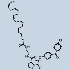 CC/C=C\C/C=C\C/C=C\C/C=C\C/C=C\CCCC(=O)NCCNC(=O)[C@@H]1CCCN1C(=O)C(C)(C)Oc1ccc(C(=O)c2ccc(Cl)cc2)cc1